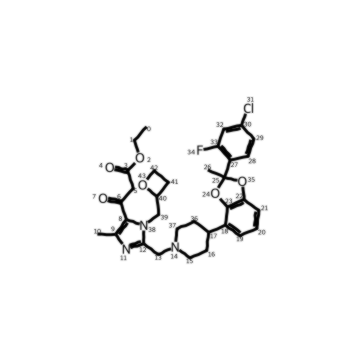 CCOC(=O)CC(=O)c1c(C)nc(CN2CCC(c3cccc4c3OC(C)(c3ccc(Cl)cc3F)O4)CC2)n1CC1CCO1